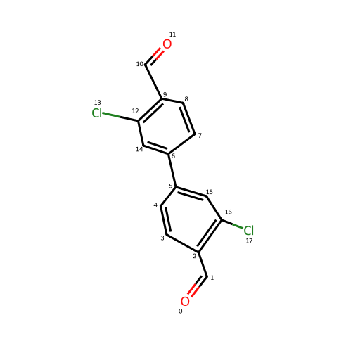 O=Cc1ccc(-c2ccc(C=O)c(Cl)c2)cc1Cl